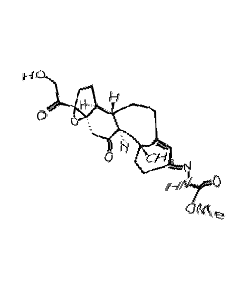 COC(=O)NN=C1C=C2CC[C@@H]3[C@H](C(=O)C[C@]45O[C@]4(C(=O)CO)CC[C@@H]35)[C@@]2(C)CC1